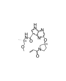 C=CC(=O)N1CC[C@H](Oc2cnc3[nH]cc(C(=O)N[C@@H](C)COC)c3n2)C1